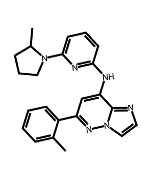 Cc1ccccc1-c1cc(Nc2cccc(N3CCCC3C)n2)c2nccn2n1